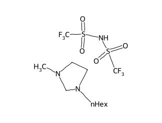 CCCCCCN1CCN(C)C1.O=S(=O)(NS(=O)(=O)C(F)(F)F)C(F)(F)F